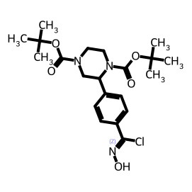 CC(C)(C)OC(=O)N1CCN(C(=O)OC(C)(C)C)C(c2ccc(/C(Cl)=N/O)cc2)C1